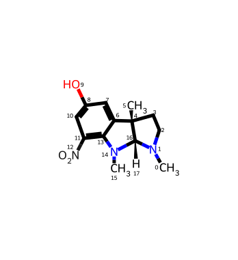 CN1CC[C@@]2(C)c3cc(O)cc([N+](=O)[O-])c3N(C)[C@@H]12